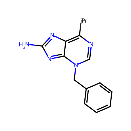 CC(C)c1ncn(Cc2ccccc2)c2nc(N)nc1-2